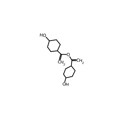 C=C(OC(=C)C1CCC(O)CC1)C1CCC(O)CC1